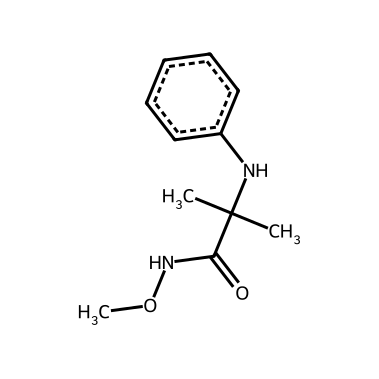 CONC(=O)C(C)(C)Nc1ccccc1